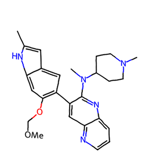 COCOc1cc2[nH]c(C)cc2cc1-c1cc2ncccc2nc1N(C)C1CCN(C)CC1